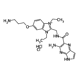 CCn1c(CNC(=O)c2nc3cc[nH]c3nc2N)[n+](CC)c2ccc(OCCCN)cc21.Cl.[Cl-]